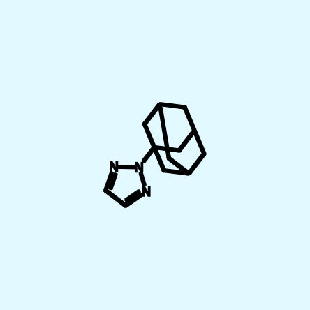 c1cnn(C23CC4CC(CC(C4)C2)C3)n1